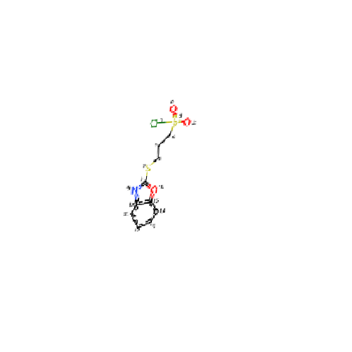 O=S(=O)(Cl)CCCSc1nc2ccccc2o1